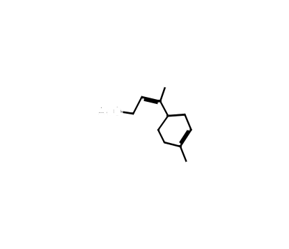 CC(=O)OC/C=C(/C)C1CC=C(C)CC1